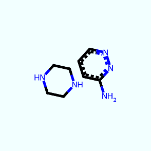 C1CNCCN1.Nc1cccnn1